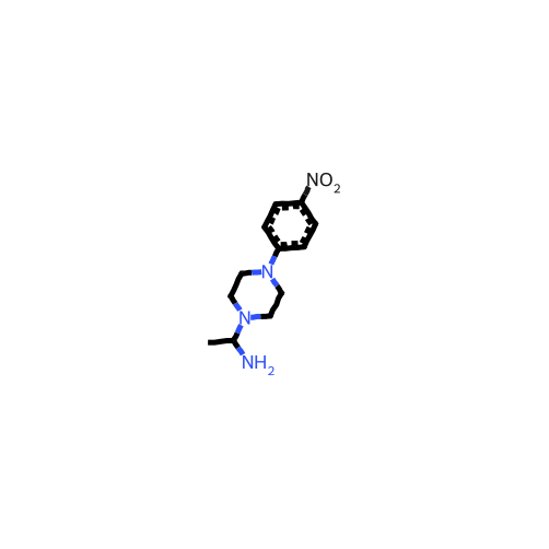 CC(N)N1CCN(c2ccc([N+](=O)[O-])cc2)CC1